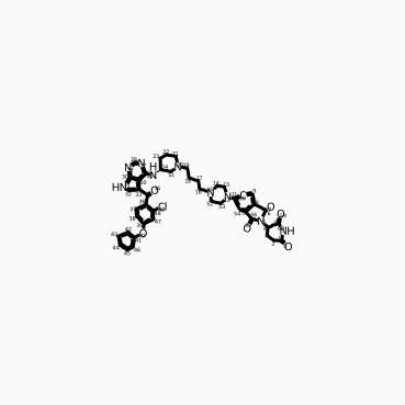 O=C1CCC(N2C(=O)c3ccc(N4CCN(CCCCN5CCC[C@@H](Nc6ncnc7[nH]cc(C(=O)c8ccc(Oc9ccccc9)cc8Cl)c67)C5)CC4)cc3C2=O)C(=O)N1